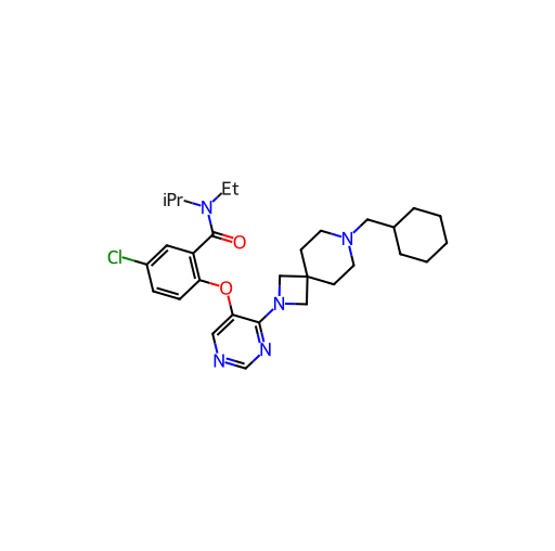 CCN(C(=O)c1cc(Cl)ccc1Oc1cncnc1N1CC2(CCN(CC3CCCCC3)CC2)C1)C(C)C